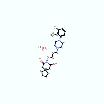 Cc1cccc(N2CCN(CCCON3C(=O)CC4(CCCC4)CC3=O)CC2)c1C.Cl.O